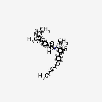 CCCCOCCOc1ccc(-c2cc(F)c(OCC)c(/C=C/C(=O)Nc3ccc([S+]([O-])Cc4c(C)ncn4CC)cc3)c2)cc1